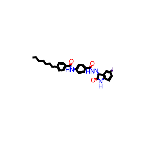 CCCCCCCc1ccc(C(=O)Nc2ccc(C(=O)N/N=C3\C(=O)Nc4ccc(I)cc43)cc2)cc1